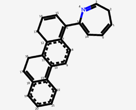 C1=CCC=NC(C2=c3ccc4c(c3CC=C2)CC=c2ccccc2=4)=C1